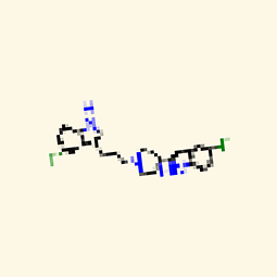 Fc1ccc2[nH]c(C3CCN(CCCc4c[nH]c5ccc(F)cc45)CC3)cc2c1